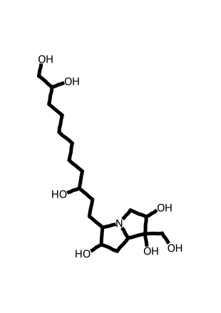 OCC(O)CCCCCCC(O)CCC1C(O)CC2N1CC(O)C2(O)CO